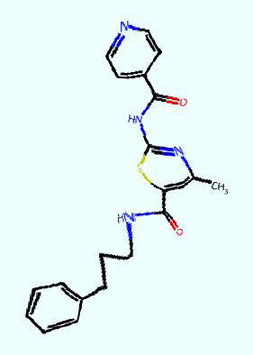 Cc1nc(NC(=O)c2ccncc2)sc1C(=O)NCCCc1ccccc1